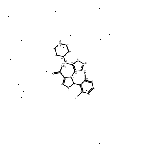 NC(=O)C1=CSC(c2c(F)cccc2F)N1c1cnsc1OC1CCNCC1